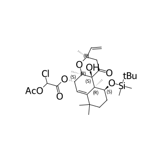 C=C[C@@]1(C)CC(=O)[C@@]2(O)[C@](C)(O1)[C@@H](OC(=O)C(Cl)OC(C)=O)C=C1C(C)(C)CC[C@H](O[Si](C)(C)C(C)(C)C)[C@@]12C